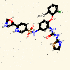 COc1cccc(F)c1Oc1ccc(NS(=O)(=O)c2ccc(-c3cnco3)nc2)cc1NC(=O)Nc1nccs1